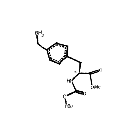 BCc1ccc(C[C@H](NC(=O)OCCCC)C(=O)OC)cc1